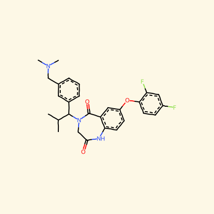 CC(C)C(c1cccc(CN(C)C)c1)N1CC(=O)Nc2ccc(Oc3ccc(F)cc3F)cc2C1=O